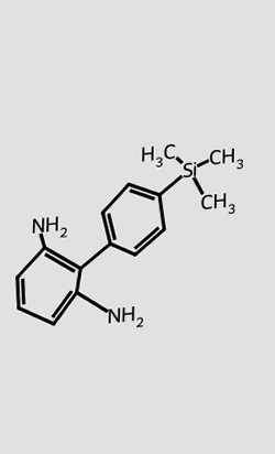 C[Si](C)(C)c1ccc(-c2c(N)cccc2N)cc1